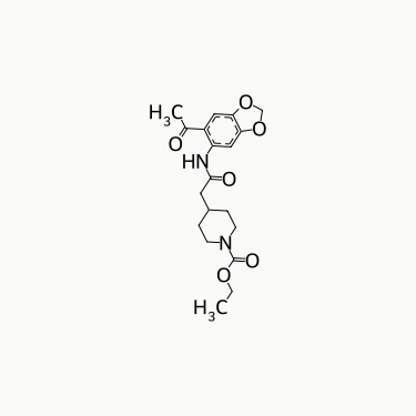 CCOC(=O)N1CCC(CC(=O)Nc2cc3c(cc2C(C)=O)OCO3)CC1